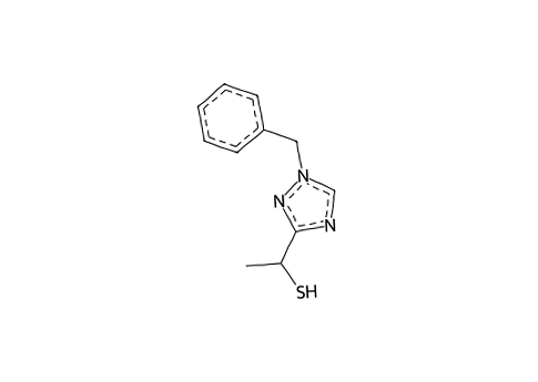 CC(S)c1ncn(Cc2ccccc2)n1